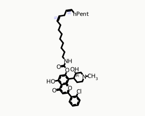 CCCCC/C=C\C/C=C\CCCCCCCCNC(=O)Oc1cc(O)c2c(=O)cc(-c3ccccc3Cl)oc2c1C1CCN(C)C[C@@H]1O